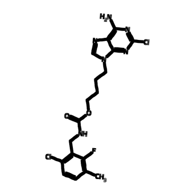 Cc1ccc(Cl)c(CNC(=O)OCCCCn2cnc3c(N)nc(Cl)nc32)c1F